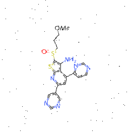 COCCC[S@@+]([O-])c1sc2nc(-c3cncnc3)cc(-c3ccncn3)c2c1N